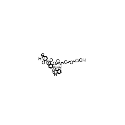 O=C(COc1c(Nc2ncnc3ccccc23)ccc2c1C(=O)N(C1CCC(=O)NC1=O)C2)NCCOCCOCCOCO